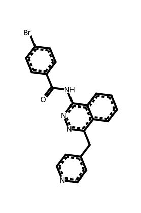 O=C(Nc1nnc(Cc2ccncc2)c2ccccc12)c1ccc(Br)cc1